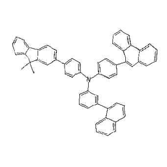 CC1(C)c2ccccc2-c2ccc(-c3ccc(N(c4ccc(-c5cc6ccccc6c6ccccc56)cc4)c4cccc(-c5cccc6ccccc56)c4)cc3)cc21